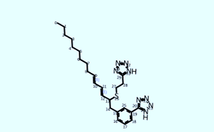 CCCCCCCCC/C=C/C=C/C(Cc1cccc(-c2nnn[nH]2)c1)SCCc1nnn[nH]1